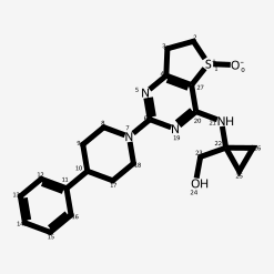 [O-][S+]1CCc2nc(N3CCC(c4ccccc4)CC3)nc(NC3(CO)CC3)c21